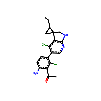 CCC1CC12CNc1ncc(-c3ccc(N)c(C(C)=O)c3F)c(Cl)c12